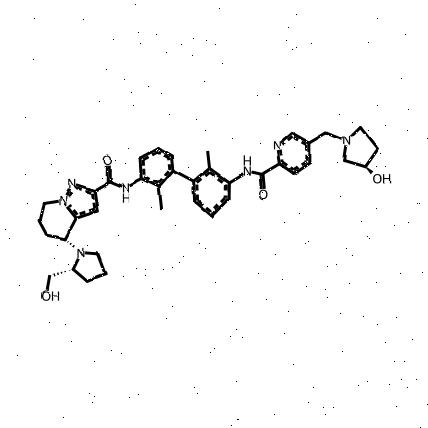 Cc1c(NC(=O)c2ccc(CN3CC[C@@H](O)C3)cn2)cccc1-c1cccc(NC(=O)c2cc3n(n2)CCC[C@H]3N2CCC[C@@H]2CO)c1C